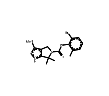 CNc1n[nH]c2c1CN(C(=O)Nc1c(C)cccc1Br)C2(C)C